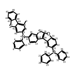 Cc1cc(N(c2ccccc2)c2ccc3c(c2)sc2oc4ccc(N(c5ccccc5)c5ccccc5)cc4c23)cc2sc3ccccc3c12